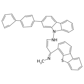 C/N=C(\C=C/Nn1c2ccccc2c2ccc(-c3ccc(-c4ccccc4)cc3)cc21)c1cccc2c1sc1ccccc12